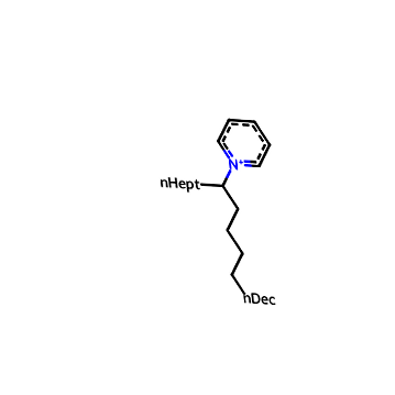 CCCCCCCCCCCCCCC(CCCCCCC)[n+]1ccccc1